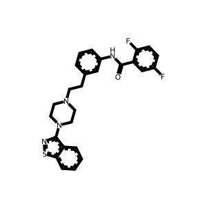 O=C(Nc1cccc(CCN2CCN(c3nsc4ccccc34)CC2)c1)c1cc(F)ccc1F